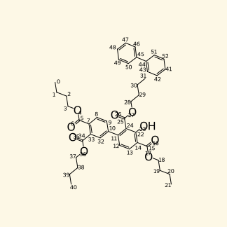 CCCCOC(=O)c1ccc(-c2ccc(C(=O)OCCCC)c(O)c2C(=O)OCCCC)cc1C(=O)OCCCC.c1ccc(-c2ccccc2)cc1